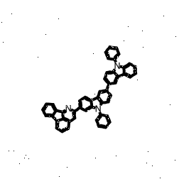 c1ccc(-n2c3ccccc3c3cc(-c4ccc5c(c4)c4ccc(-c6cc7cccc8c7c(n6)-c6ccccc6-8)cc4n5-c4ccccc4)ccc32)cc1